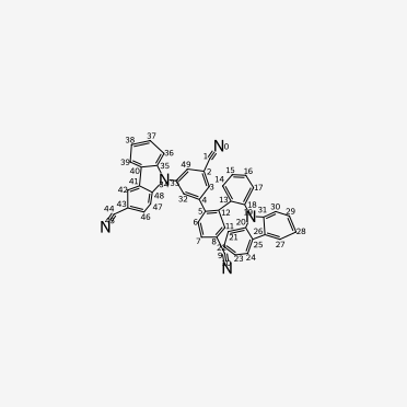 N#Cc1cc(-c2ccc(C#N)cc2-c2ccccc2-n2c3ccccc3c3ccccc32)cc(-n2c3ccccc3c3cc(C#N)ccc32)c1